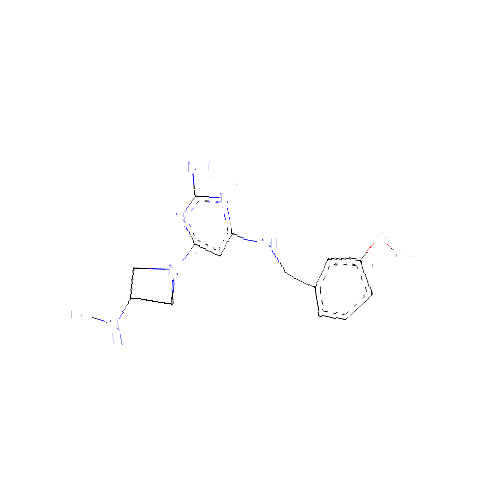 CNC1CN(c2cc(NCc3cccc(OC)c3)nc(N)n2)C1